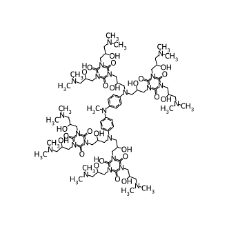 CN(C)CC(O)Cn1c(=O)n(CC(O)CN(C)C)c(=O)n(CC(O)CN(CC(O)Cn2c(=O)n(CC(O)CN(C)C)c(=O)n(CC(O)CN(C)C)c2=O)c2ccc(N(C)c3ccc(N(CC(O)Cn4c(=O)n(CC(O)CN(C)C)c(=O)n(CC(O)CN(C)C)c4=O)CC(O)Cn4c(=O)n(CC(O)CN(C)C)c(=O)n(CC(O)CN(C)C)c4=O)cc3)cc2)c1=O